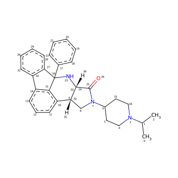 CC(C)N1CCC(N2C[C@@H]3c4cccc5c4C(c4ccccc4)(N[C@@H]3C2=O)c2ccccc2-5)CC1